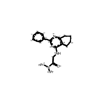 CCCN(CCC)C(=O)CNc1nc(-c2ccccc2)nc2c1CCCC2